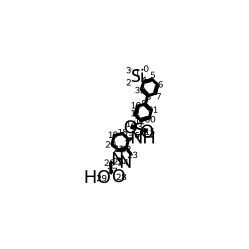 C[Si](C)(C)c1cccc(-c2ccc(S(=O)(=O)NC3CCCc4c3cnn4CC(=O)O)cc2)c1